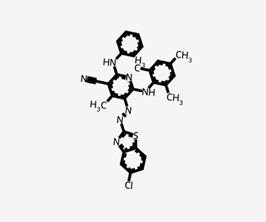 Cc1cc(C)c(Nc2nc(Nc3ccccc3)c(C#N)c(C)c2N=Nc2nc3cc(Cl)ccc3s2)c(C)c1